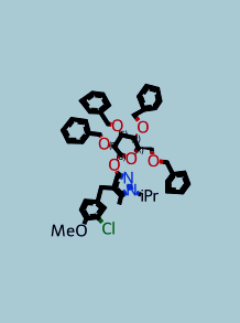 COc1ccc(Cc2c(O[C@@H]3O[C@H](COCc4ccccc4)[C@@H](OCc4ccccc4)[C@H](OCc4ccccc4)[C@H]3OCc3ccccc3)nn(C(C)C)c2C)cc1Cl